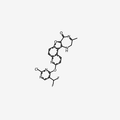 CC1=NC(=O)c2oc3ccc4nc(Oc5nc(Cl)ncc5C(F)F)ccc4c3c2NC1